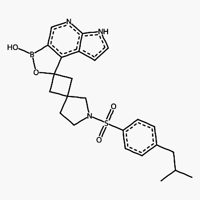 CC(C)Cc1ccc(S(=O)(=O)N2CCC3(C2)CC2(C3)OB(O)c3cnc4[nH]ccc4c32)cc1